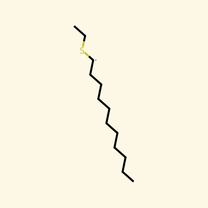 CCCCCCCCCC[CH]SCC